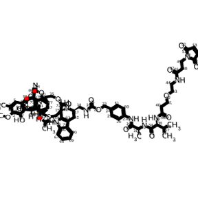 COc1c(C)cc2c(c1O)[C@H]1[C@@H]3[C@@H]4SC[C@]5(N[C@@H](CNC(=O)OCc6ccc(NC(=O)[C@H](C)NC(=O)[C@@H](NC(=O)CCOCCNC(=O)CCN7C(=O)C=CC7=O)C(C)C)cc6)Cc6c5[nH]c5ccccc65)C(=O)OCC(c5c6c(c(C)c(OC(C)=O)c54)OCO6)N3C(C#N)(C2)CN1C